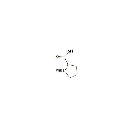 S=C(S)N1CCCC1.[NaH]